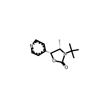 C[C@H]1[C@@H](c2ccncc2)OC(=O)N1C(C)(C)C